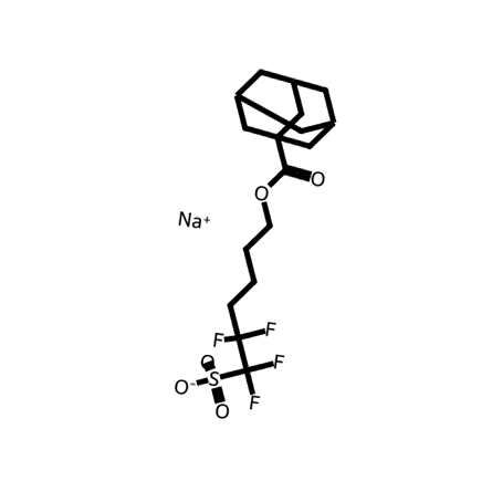 O=C(OCCCCC(F)(F)C(F)(F)S(=O)(=O)[O-])C12CC3CC(CC(C3)C1)C2.[Na+]